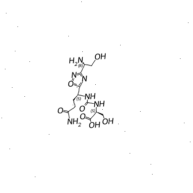 NC(=O)CC[C@H](NC(=O)N[C@@H](CO)C(=O)O)c1nc([C@@H](N)CO)no1